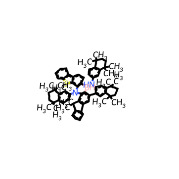 Cc1c(N2c3c(c(-c4cc5c(cc4Nc4ccc6c(c4)C(C)(C)CCC6(C)C)C(C)(C)CCC5(C)C)cc4c3C(C)(C)c3ccccc3-4)Bc3ccc4c(sc5ccccc54)c32)ccc2c1C(C)(C)CCC2(C)C